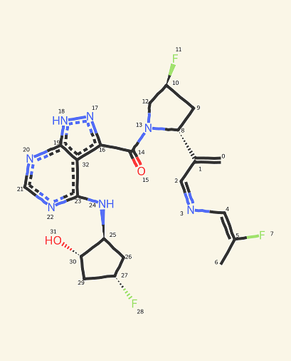 C=C(/C=N\C=C(/C)F)[C@H]1C[C@H](F)CN1C(=O)c1n[nH]c2ncnc(N[C@H]3C[C@H](F)C[C@@H]3O)c12